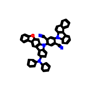 N#Cc1cc(-n2c3ccccc3c3c4ccccc4ccc32)c(C#N)cc1-n1c2ccc(N(c3ccccc3)c3ccccc3)cc2c2cc3c(cc21)oc1ccccc13